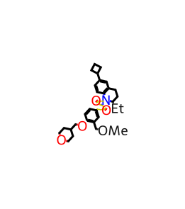 CC[C@@H]1CCc2cc(C3CCC3)ccc2N1S(=O)(=O)c1ccc(OCC2CCOCC2)c(COC)c1